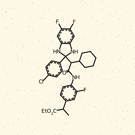 CCOC(=O)C(C)c1ccc(NC(=O)C(C2CCCCC2)C2(c3ccc(Cl)cc3)Nc3cc(F)c(F)cc3N2)c(F)c1